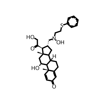 C[C@]12C=CC(=O)C=C1CC[C@@H]1C2[C@@H](O)C[C@@]2(C)C1C[C@@H](CN(O)CCSc1ccccc1)[C@@H]2C(=O)CO